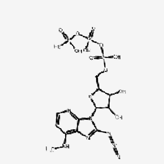 CNc1ccnc2c1nc(N=[N+]=[N-])n2C1OC(COP(=O)(O)OP(=O)(O)OP(=O)(O)O)C(O)C1O